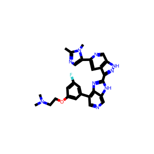 Cc1ncc(-c2cc3c(-c4nc5c(-c6cc(F)cc(OCCN(C)C)c6)cncc5[nH]4)n[nH]c3cn2)n1C